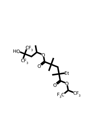 CCC(C)(CC(C)(C)C(=O)OC(C)CC(O)(C(F)(F)F)C(F)(F)F)C(=O)OC(C(F)(F)F)C(F)(F)F